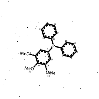 COc1cc(P(c2ccccc2)c2ccccc2)cc(OC)c1OC